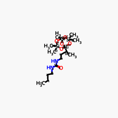 CCCCNC(=O)NCCC(C)[Si]12O[Si](C)(C)O[Si](C)(O[Si](C)(C)O1)O2